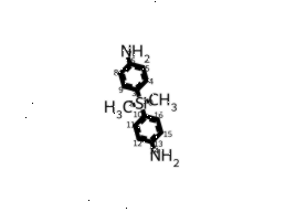 C[Si](C)(c1ccc(N)cc1)c1ccc(N)cc1